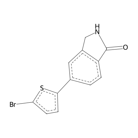 O=C1NCc2cc(-c3ccc(Br)s3)ccc21